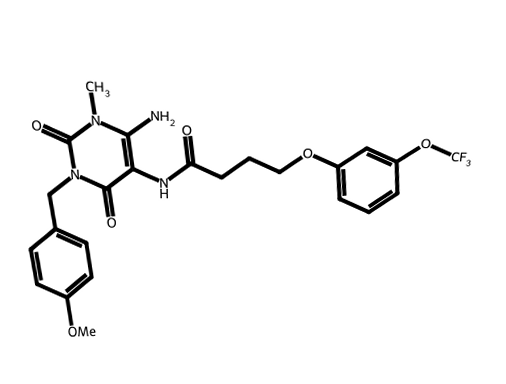 COc1ccc(Cn2c(=O)c(NC(=O)CCCOc3cccc(OC(F)(F)F)c3)c(N)n(C)c2=O)cc1